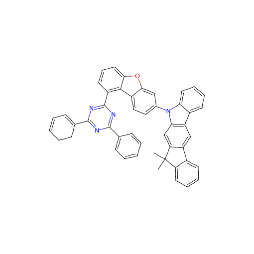 CC1(C)c2ccccc2-c2cc3c4ccccc4n(-c4ccc5c(c4)oc4cccc(-c6nc(C7=CC=CCC7)nc(-c7ccccc7)n6)c45)c3cc21